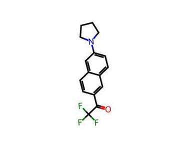 O=C(c1ccc2cc(N3CCCC3)ccc2c1)C(F)(F)F